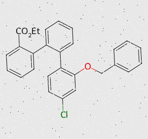 CCOC(=O)c1ccccc1-c1ccccc1-c1ccc(Cl)cc1OCc1ccccc1